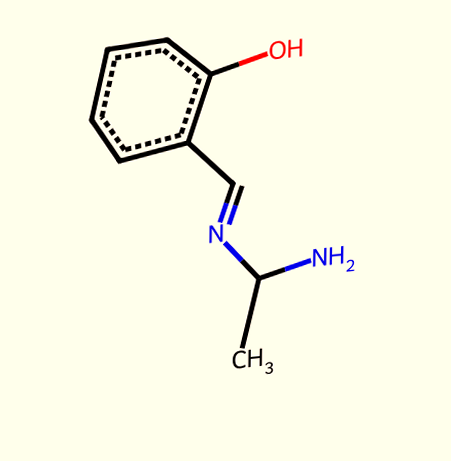 CC(N)N=Cc1ccccc1O